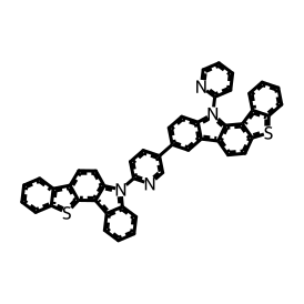 c1ccc(-n2c3ccc(-c4ccc(-n5c6ccccc6c6c7sc8ccccc8c7ccc65)nc4)cc3c3ccc4sc5ccccc5c4c32)nc1